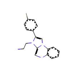 NCCN1C(c2ccc(Br)cc2)=CN2C1=CNc1ccccc12